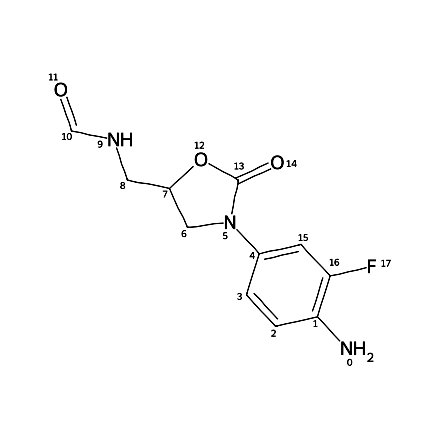 Nc1ccc(N2CC(CNC=O)OC2=O)cc1F